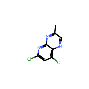 Cc1cnc2c(Cl)cc(Cl)nc2n1